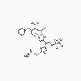 Br.Br.CC(C)(ON=C(C(=O)N[C@@H]1C(=O)N2C(C(=O)[O-])=C(C[n+]3ccccc3)CS[C@H]12)c1csc(N)n1)C(=O)O.O